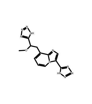 COC(Cc1cccn2c(-c3nnn[nH]3)cnc12)c1nnn[nH]1